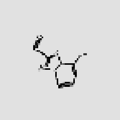 O=CC1=NC2C=CC=C(O)C2S1